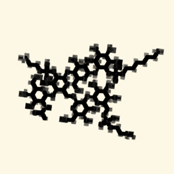 CC(=O)NC1C(O)[C@@H](O)C(CO)O[C@H]1O[C@@H]1C(CO[C@H]2OC(CO)[C@@H](O)C(O)C2O[C@H]2OC(COP(=O)(O)OCCN)[C@@H](O)C(O)C2O)O[C@H](O[C@@H]2C(CO)O[C@H](O[C@@H]3C(O)C(O)[C@@H](O)C(O)C3OP(=O)(O)OCCCCCCS)C(N)C2O)C(OP(=O)(O)OCCN)C1O